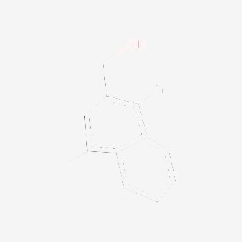 OCc1cc(I)c2ccccc2c1Br